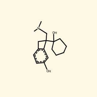 CN(C)CC1(C2(O)CCCCC2)Cc2ccc(O)cc21